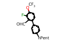 CCCCCc1ccc(-c2ccc(OC(F)(F)F)c(F)c2C=O)cc1